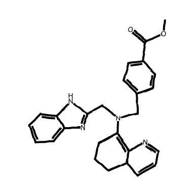 COC(=O)c1ccc(CN(Cc2nc3ccccc3[nH]2)C2=C3N=CC=CC3CCC2)cc1